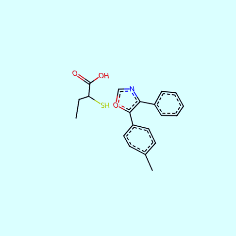 CCC(S)C(=O)O.Cc1ccc(-c2ocnc2-c2ccccc2)cc1